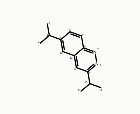 CC(C)c1ccc2nnc(C(C)C)cc2c1